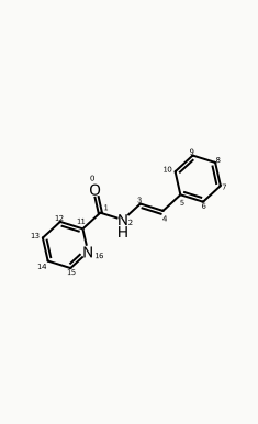 O=C(NC=Cc1ccccc1)c1ccccn1